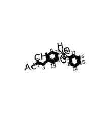 CC(=O)C(C)Cc1ccc(NS(=O)(=O)c2ccccc2)cc1